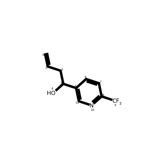 C=CCC(O)c1ccc(C(F)(F)F)nc1